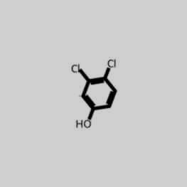 Oc1[c]c(Cl)c(Cl)cc1